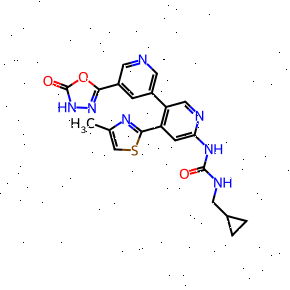 Cc1csc(-c2cc(NC(=O)NCC3CC3)ncc2-c2cncc(-c3n[nH]c(=O)o3)c2)n1